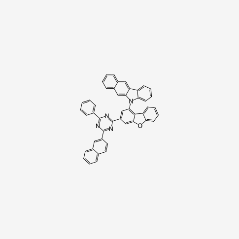 c1ccc(-c2nc(-c3ccc4ccccc4c3)nc(-c3cc(-n4c5ccccc5c5cc6ccccc6cc54)c4c(c3)oc3ccccc34)n2)cc1